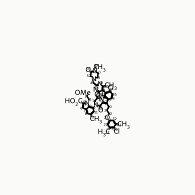 COCCn1c(C(=O)O)cc2cc(C)cc(N3C[C@@H](C)n4c(c(CCCOc5cc(C)c(Cl)c(C)c5)c5ccc(Cl)c(-c6c(C)nc(CN7CCN(C)C(=O)C7)nc6C)c54)C3=O)c21